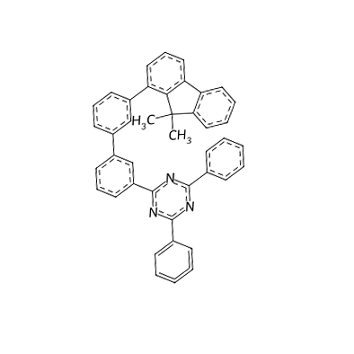 CC1(C)c2ccccc2-c2cccc(-c3cccc(-c4cccc(-c5nc(C6=CC=C=C=C6)nc(-c6ccccc6)n5)c4)c3)c21